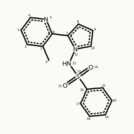 Cc1cccnc1-c1cccn1NS(=O)(=O)c1ccccc1